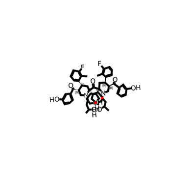 Cc1c(F)cccc1[C@@H]1C[C@](C(=O)[C@]2(C3CCCNC3)C[C@@H](c3cccc(F)c3C)[C@@H](C(=O)c3cccc(O)c3)CN2CCC(C)O)(C2CCCNC2)N(CCC(C)O)C[C@@H]1C(=O)c1cccc(O)c1